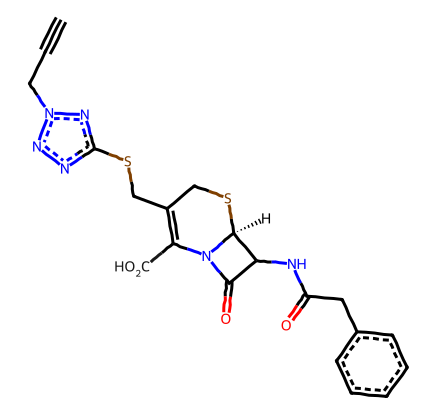 C#CCn1nnc(SCC2=C(C(=O)O)N3C(=O)C(NC(=O)Cc4ccccc4)[C@@H]3SC2)n1